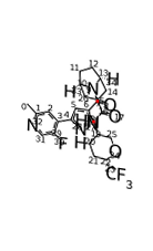 Cc1cc(-c2cc(C(=O)N3[C@@H]4CC[C@H]3CC(C(=O)N[C@@H]3CC[C@@H](C(F)(F)F)OC3)C4)n[nH]2)c(F)cn1